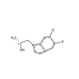 C[C@@H](O)Cn1ccc2cc(F)c(Cl)cc21